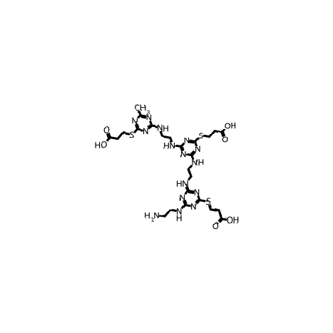 Cc1nc(NCCNc2nc(NCCNc3nc(NCCN)nc(SCCC(=O)O)n3)nc(SCCC(=O)O)n2)nc(SCCC(=O)O)n1